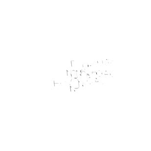 CC(=O)OC[C@H]1O[C@@H](n2c(F)nc3c(O)ncnc32)[C@H](OC(C)=O)[C@@H]1OC(C)=O